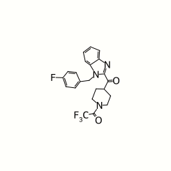 O=C(c1nc2ccccc2n1Cc1ccc(F)cc1)C1CCN(C(=O)C(F)(F)F)CC1